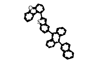 c1ccc2cc(-c3c4ccccc4c(-c4ccc5sc(-c6cccc7oc8ccccc8c67)cc5c4)c4ccccc34)ccc2c1